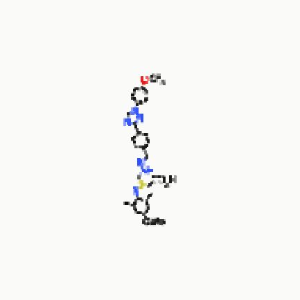 COc1cc(C)c(N=S(CNN=Cc2ccc(-c3ncn(-c4ccc(OC(F)(F)F)cc4)n3)cc2)CC(=O)O)c(C)c1